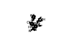 CCOc1cc2ncc(C#N)c(Nc3ccc(OCc4cccc(F)c4)c(Cl)c3)c2cc1NC(=O)C=C1CCNCC1